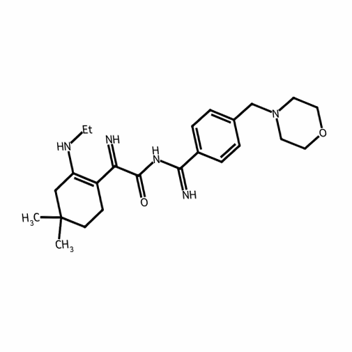 CCNC1=C(C(=N)C(=O)NC(=N)c2ccc(CN3CCOCC3)cc2)CCC(C)(C)C1